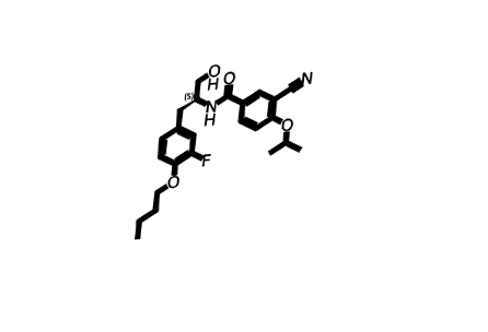 CCCCOc1ccc(C[C@@H](CO)NC(=O)c2ccc(OC(C)C)c(C#N)c2)cc1F